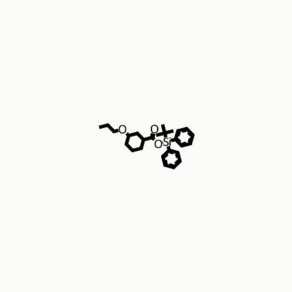 CCCOC1CCCC(C(=O)O[Si](c2ccccc2)(c2ccccc2)C(C)(C)C)C1